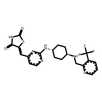 O=C1NC(=O)C(=Cc2ccnc(N[C@H]3CC[C@H](NCc4ncccc4C(F)(F)F)CC3)n2)S1